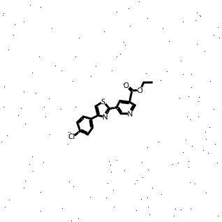 CCOC(=O)c1cncc(-c2nc(-c3ccc(Cl)cc3)cs2)c1